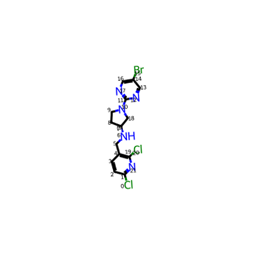 Clc1ccc(CN[C@H]2CCN(c3ncc(Br)cn3)C2)c(Cl)n1